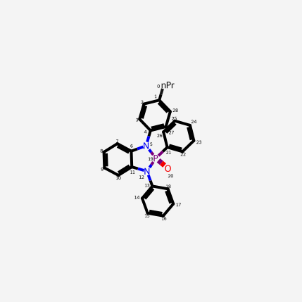 CCCc1ccc(N2c3ccccc3N(c3ccccc3)P2(=O)c2ccccc2)cc1